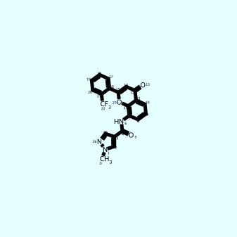 Cn1cc(C(=O)Nc2cccc3c(=O)cc(-c4ccccc4C(F)(F)F)oc23)cn1